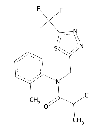 Cc1ccccc1N(Cc1nnc(C(F)(F)F)s1)C(=O)C(C)Cl